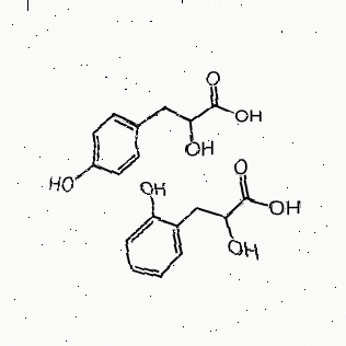 O=C(O)C(O)Cc1ccc(O)cc1.O=C(O)C(O)Cc1ccccc1O